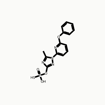 Cc1nc(OP(=O)(O)S)nn1-c1cccc(Oc2ccccc2)n1